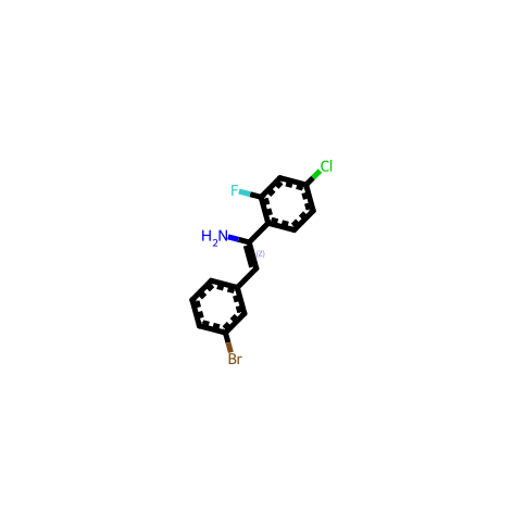 N/C(=C\c1cccc(Br)c1)c1ccc(Cl)cc1F